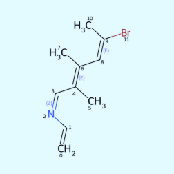 C=C\N=C/C(C)=C(C)/C=C(\C)Br